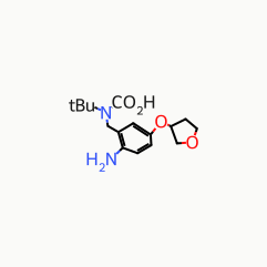 CC(C)(C)N(Cc1cc(OC2CCOC2)ccc1N)C(=O)O